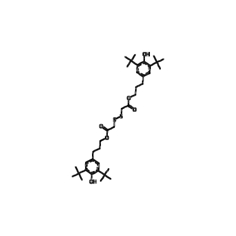 CC(C)(C)c1cc(CCCOC(=O)CSSCC(=O)OCCCc2cc(C(C)(C)C)c(O)c(C(C)(C)C)c2)cc(C(C)(C)C)c1O